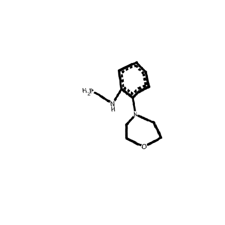 PNc1ccccc1N1CCOCC1